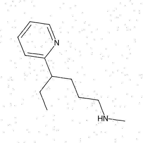 CCC(CCCNC)c1ccccn1